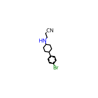 N#CCCNC1CCC(c2ccc(Br)cc2)CC1